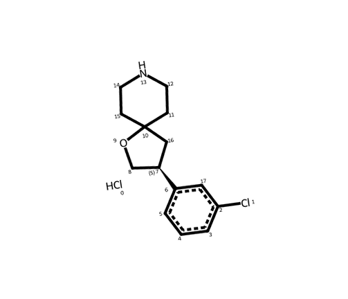 Cl.Clc1cccc([C@H]2COC3(CCNCC3)C2)c1